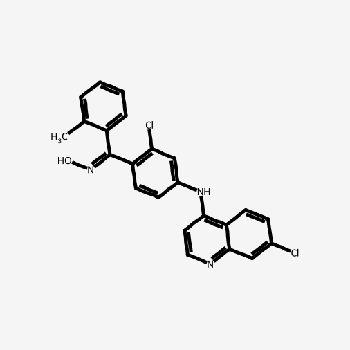 Cc1ccccc1C(=NO)c1ccc(Nc2ccnc3cc(Cl)ccc23)cc1Cl